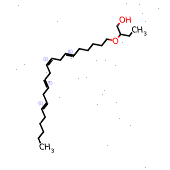 CCCCC/C=C/C/C=C/C/C=C\C/C=C/CCCCCOC(CC)CO